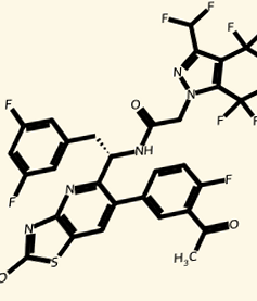 CC(=O)c1cc(-c2cc3sc(O)nc3nc2[C@H](Cc2cc(F)cc(F)c2)NC(=O)Cn2nc(C(F)F)c3c2C(F)(F)CCC3(F)F)ccc1F